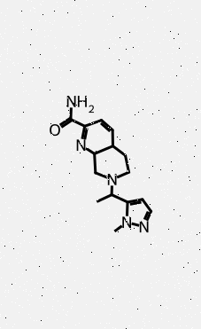 CC(c1ccnn1C)N1CCC2C=CC(C(N)=O)=NC2C1